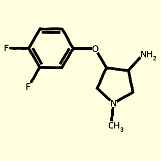 CN1CC(N)C(Oc2ccc(F)c(F)c2)C1